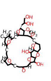 C=C1CC2CCC(=O)C[C@H]3OC4C(OC5CCC(CC(=O)CC6[C@H](C[C@H]7O[C@@H](CC[C@@H]1O2)C[C@@H](C)C7=C)O[C@H](CC(O)CO)[C@@H]6OC)O[C@@H]5C4O)C3O